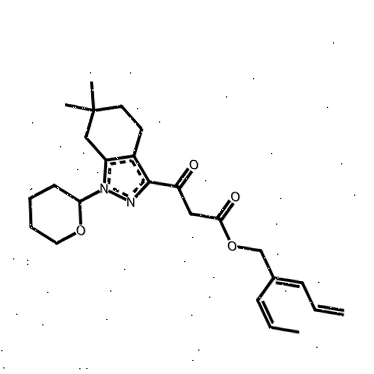 C=C/C=C(\C=C/C)COC(=O)CC(=O)c1nn(C2CCCCO2)c2c1CCC(C)(C)C2